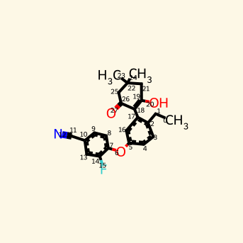 CCc1ccc(Oc2ccc(C#N)cc2F)cc1C1=C(O)CC(C)(C)CC1=O